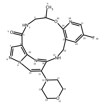 CC1CNC(=O)c2cnn3cc(N4CCOCC4)c(nc23)NCc2cc(F)cnc2O1